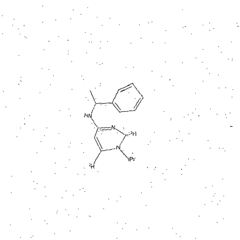 [2H]C1=CC(NC(C)c2ccccc2)=NC([2H])N1C(C)C